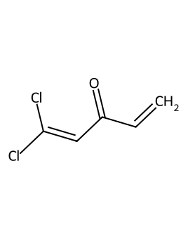 C=CC(=O)C=C(Cl)Cl